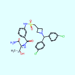 C[C@@H](O)[C@H](NC(=O)c1cccc(NS(=O)(=O)CC2CN(C(c3ccc(Cl)cc3)c3ccc(Cl)cc3)C2)c1)C(N)=O